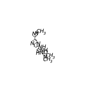 CN(C)CC(=O)NNC(=S)Nc1ccc2ncc(-c3cnn(C)c3)cc2n1